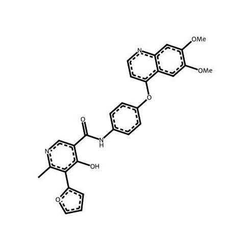 COc1cc2nccc(Oc3ccc(NC(=O)c4cnc(C)c(-c5ccco5)c4O)cc3)c2cc1OC